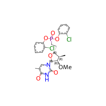 CO[C@@H]1[C@H](C)[C@@H](CCP(=O)(Oc2ccccc2Cl)Oc2ccccc2Cl)O[C@H]1n1cc(C)c(=O)[nH]c1=O